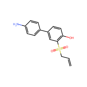 C=CCS(=O)(=O)c1cc(-c2ccc(N)cc2)ccc1O